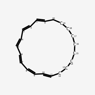 [C]1=C/C=C/C=C/C=C/C=C\C=C\CCCCCCCCC/1